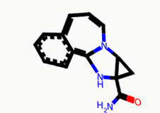 NC(=O)C12CC1N1C=CC=c3ccccc3=C1N2